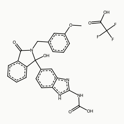 COc1cccc(CN2C(=O)c3ccccc3C2(O)c2ccc3[nH]c(NC(=O)O)nc3c2)c1.O=C(O)C(F)(F)F